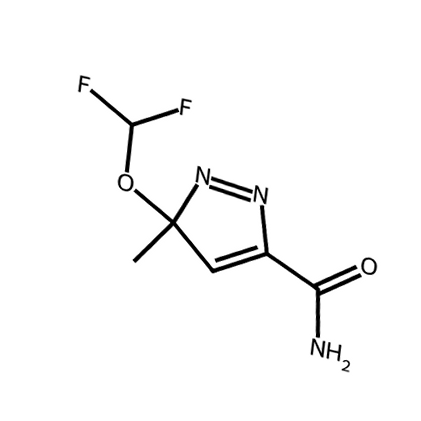 CC1(OC(F)F)C=C(C(N)=O)N=N1